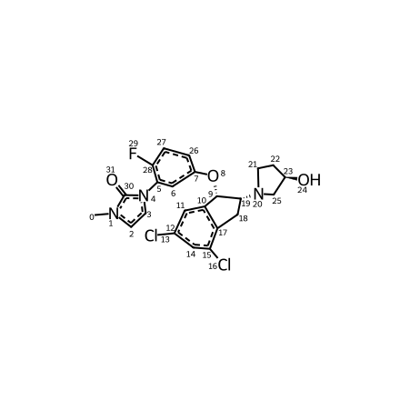 Cn1ccn(-c2cc(O[C@H]3c4cc(Cl)cc(Cl)c4C[C@H]3N3CC[C@@H](O)C3)ccc2F)c1=O